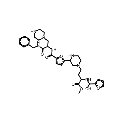 COC(=O)C(CCN1CCNC(c2ccc(C(=O)NC(CN3CCNCC3)C(=O)NCc3ccccc3)o2)C1)NC(O)c1ccco1